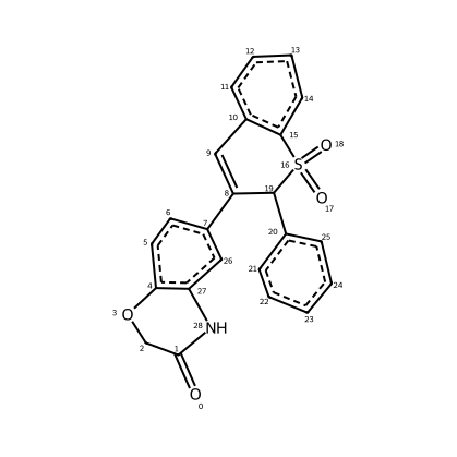 O=C1COc2ccc(C3=Cc4ccccc4S(=O)(=O)C3c3ccccc3)cc2N1